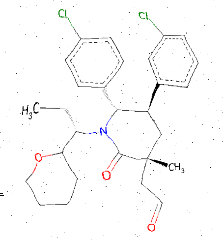 CC[C@@H](C1CCCCO1)N1C(=O)[C@@](C)(CC=O)C[C@H](c2cccc(Cl)c2)[C@H]1c1ccc(Cl)cc1